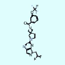 O=C(c1cccc(OC(F)(F)F)c1)N1CC2(CCN(c3cnc4cnn(CC(F)F)c4n3)C2)C1